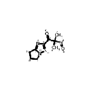 CC(C)(N=O)C(=O)c1nc2n(n1)CCC2